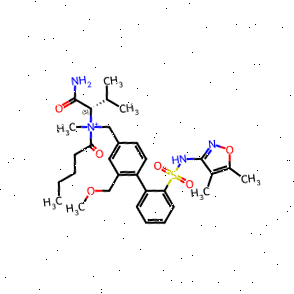 CCCCC(=O)[N+](C)(Cc1ccc(-c2ccccc2S(=O)(=O)Nc2noc(C)c2C)c(COC)c1)[C@H](C(N)=O)C(C)C